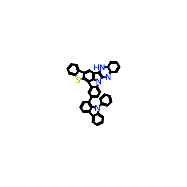 C1=CC2=Nc3c(c4cc5c6ccccc6sc5c5c6cc(-c7cccc8c9ccccc9n(-c9ccccc9)c78)ccc6n3c45)NC2C=C1